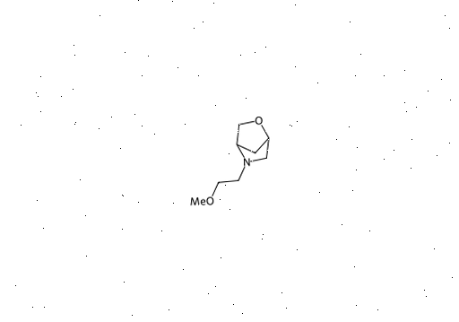 COCCN1CC2CC1CO2